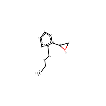 CCCCc1ccccc1C1CO1